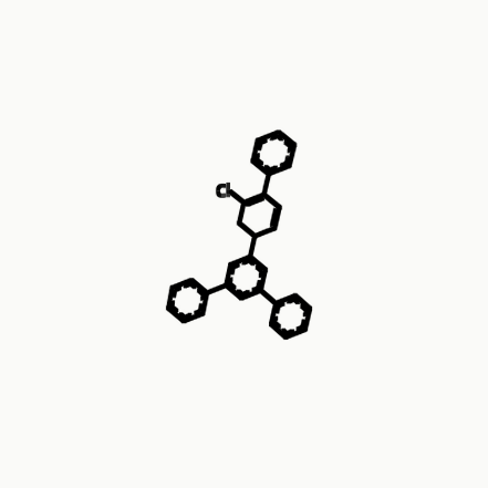 ClC1=C(c2ccccc2)C=CC(c2cc(-c3ccccc3)cc(-c3ccccc3)c2)C1